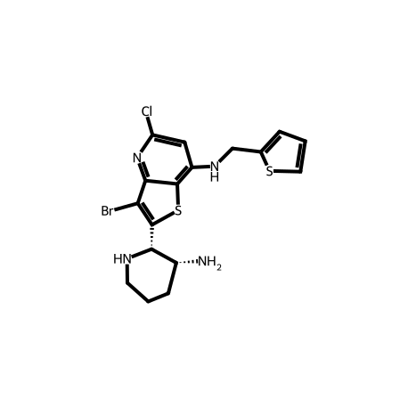 N[C@@H]1CCCN[C@@H]1c1sc2c(NCc3cccs3)cc(Cl)nc2c1Br